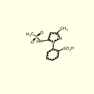 Cc1cc(NS(C)(=O)=O)n(-c2ccccc2S(=O)(=O)O)n1